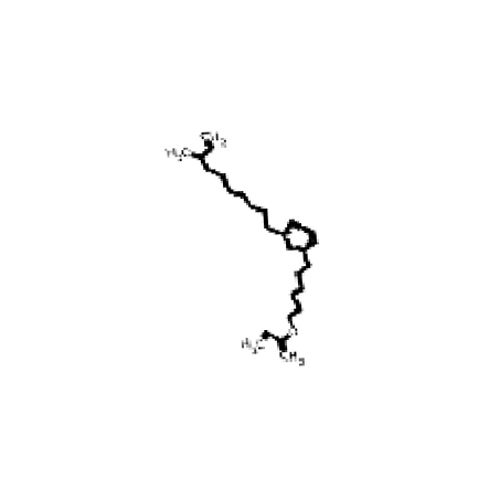 C=CC(=C)CCCCCCCc1cccc(CCCCCCOC(=C)C=C)c1